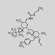 C=CCOC(=O)NC[C@H]1C[C@@H]([C@@H](C)CC(=O)C[C@H](C)[C@@H](/C=C/I)OCc2ccc(OC)cc2)[C@@H](O[Si](C)(C)C(C)(C)C)C[C@H]1C